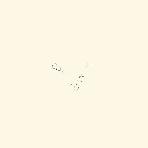 O=C(NC1CCC(NC(=O)c2cc(F)cnc2Nc2cccc(OCCN3CCOCC3)c2)CC1)c1cn2cc(F)ccc2n1